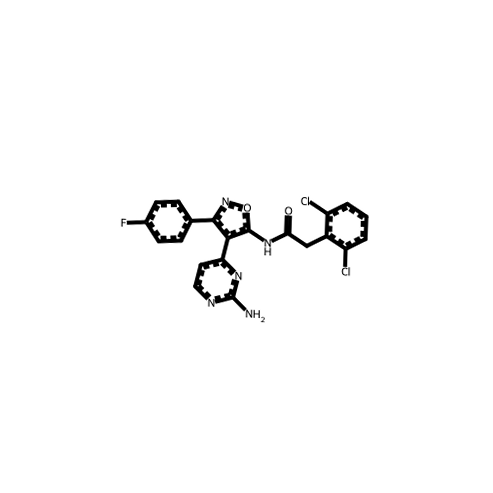 Nc1nccc(-c2c(-c3ccc(F)cc3)noc2NC(=O)Cc2c(Cl)cccc2Cl)n1